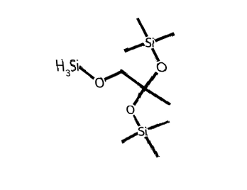 CC(CO[SiH3])(O[Si](C)(C)C)O[Si](C)(C)C